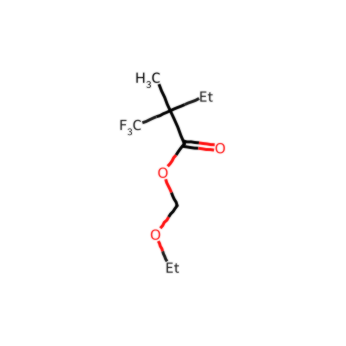 CCOCOC(=O)C(C)(CC)C(F)(F)F